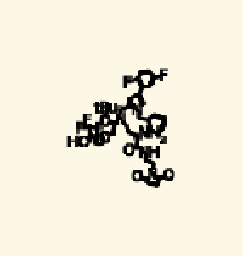 CC(C)(C)[C@H](c1cc(-c2cc(F)ccc2F)cn1Cc1ccccc1)N(CC[C@H](N)C(=O)NCCN1C(=O)C=CC1=O)C(=O)CO.O=C(O)C(F)(F)F